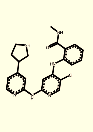 CNC(=O)c1ccccc1Nc1cc(Nc2cc(C3CCNC3)ccn2)ncc1Cl